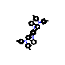 Cc1ccc(N(c2ccc(C)cc2)c2ccc3c4cc5c(cc4n4c3c2C2C=CC=CC24)c2ccc(N(c3ccc(C)cc3)c3ccc(C)cc3)c3c4ccccc4n5c23)cc1